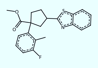 COC(=O)C1(c2cccc(F)c2C)CCC(c2nc3ccccc3s2)C1